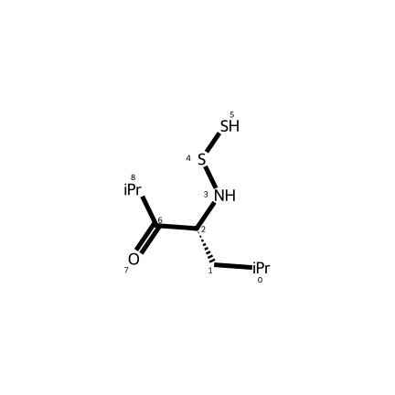 CC(C)C[C@@H](NSS)C(=O)C(C)C